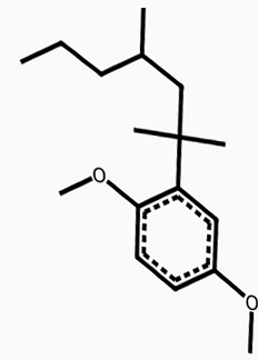 CCCC(C)CC(C)(C)c1cc(OC)ccc1OC